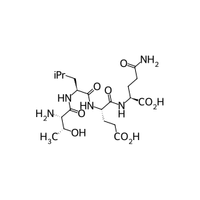 CC(C)C[C@H](NC(=O)[C@@H](N)[C@@H](C)O)C(=O)N[C@@H](CCC(=O)O)C(=O)N[C@@H](CCC(N)=O)C(=O)O